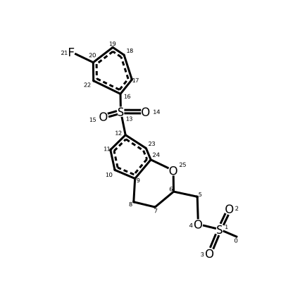 CS(=O)(=O)OCC1CCc2ccc(S(=O)(=O)c3cccc(F)c3)cc2O1